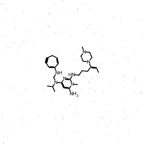 C/C=C(\CCCNC1=NC(N(CNC2=CC#CCC=C2)C(C)C)=C=C(N)N1C)N1CCN(C)CC1